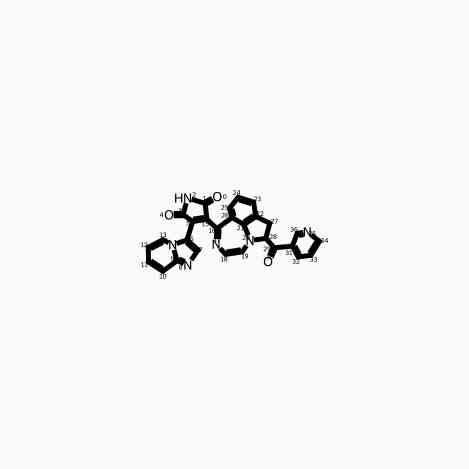 O=C1NC(=O)C(c2cnc3ccccn23)=C1C1=NC=CN2c3c(cccc31)CC2C(=O)c1cccnc1